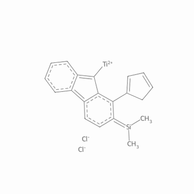 C[Si](C)=c1ccc2c(c1C1=CC=CC1)[C]([Ti+2])=c1ccccc1=2.[Cl-].[Cl-]